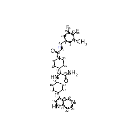 Cc1cc(/C=C/C(=O)N2CCC(C(N[C@H]3CC[C@H](c4c[nH]c5ccncc54)CC3)C(N)=O)CC2)cc(F)c1F